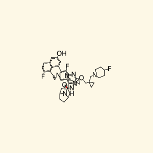 C#Cc1c(F)ccc2cc(O)cc(-c3ncc4c(N5CC6CCC(C5)N6C(=O)NC5(C#N)CC5)nc(OCC5(CN6CCC(F)CC6)CC5)nc4c3F)c12